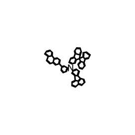 c1cc(-c2ccc3c(ccc4ccccc43)c2)cc(N(c2ccc3c(c2)-c2cccc4cccc-3c24)c2ccc3c(c2)C2(c4ccccc4-c4ccccc42)c2ccccc2-3)c1